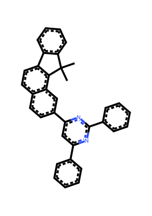 CC1(C)c2ccccc2-c2ccc3ccc(-c4cc(-c5ccccc5)nc(-c5ccccc5)n4)cc3c21